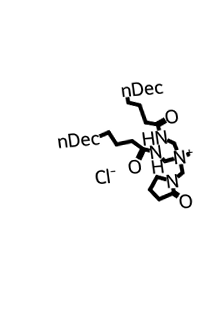 CCCCCCCCCCCCCC(=O)NC[N+](C)(CNC(=O)CCCCCCCCCCCCC)CN1CCCC1=O.[Cl-]